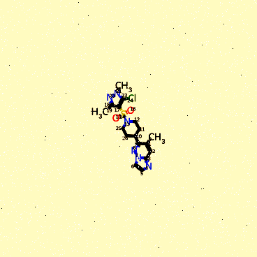 Cc1cc2nccn2nc1C1CCN(S(=O)(=O)c2c(C)nn(C)c2Cl)CC1